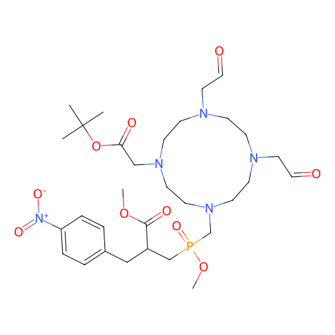 COC(=O)C(Cc1ccc([N+](=O)[O-])cc1)CP(=O)(CN1CCN(CC=O)CCN(CC=O)CCN(CC(=O)OC(C)(C)C)CC1)OC